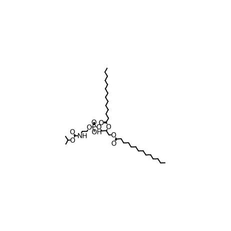 CCCCCCCCCCCCCC(=O)OCC(COP(=O)(O)OCCNC(=O)OC(C)C)OC(=O)CCCCCCCCCCCCC